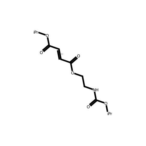 CC(C)OC(=O)/C=C/C(=O)OCCNC(=O)OC(C)C